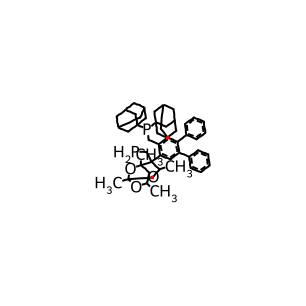 CC12CC3(C)OC(C)(CC(C)(O1)C3(CP)c1cc(-c3ccccc3)c(-c3ccccc3)cc1CP(C13CC4CC(CC(C4)C1)C3)C13CC4CC(CC(C4)C1)C3)O2